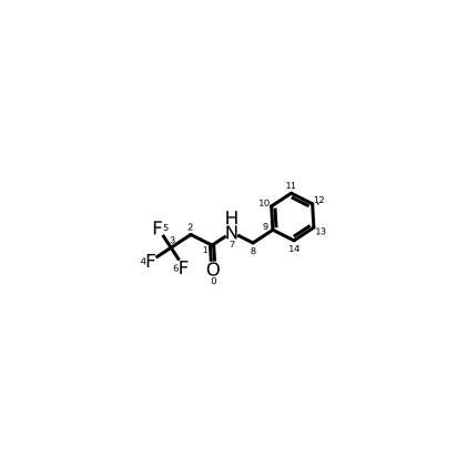 O=C(CC(F)(F)F)NCc1cc[c]cc1